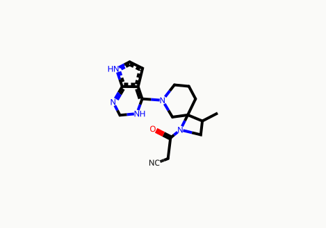 CC1CN(C(=O)CC#N)C12CCCN(C1=c3cc[nH]c3=NCN1)C2